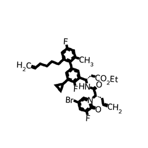 C=CCCCCc1cc(F)cc(C)c1-c1cc(C2CC2)c(F)c([C@H](CC(=O)OCC)NC(=O)[C@H](CC=C)n2cc(Br)cc(F)c2=O)c1